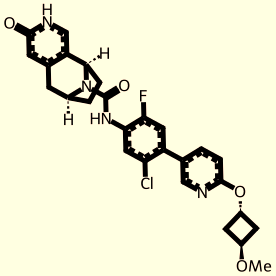 CO[C@H]1C[C@H](Oc2ccc(-c3cc(F)c(NC(=O)N4[C@H]5CC[C@@H]4c4c[nH]c(=O)cc4C5)cc3Cl)cn2)C1